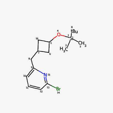 CC(C)(C)[Si](C)(C)OC1CC(Cc2cccc(Br)n2)C1